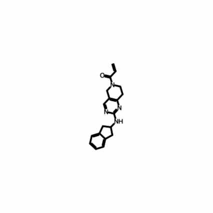 C=CC(=O)N1CCc2nc(NC3Cc4ccccc4C3)ncc2C1